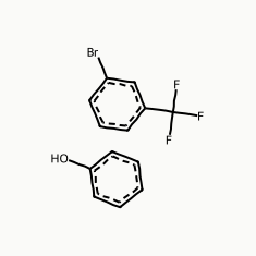 FC(F)(F)c1cccc(Br)c1.Oc1ccccc1